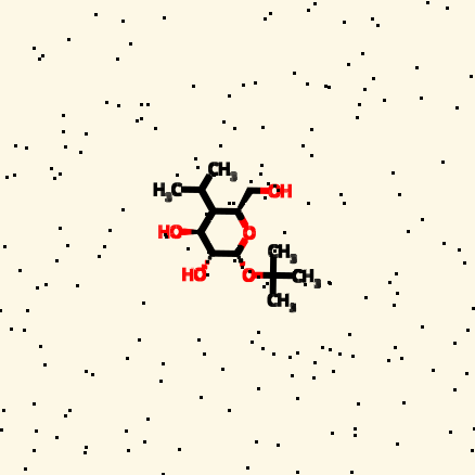 CC(C)C1[C@@H](CO)O[C@H](OC(C)(C)C)[C@H](O)[C@H]1O